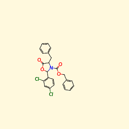 O=C1OC(c2ccc(Cl)cc2Cl)N(C(=O)OCc2ccccc2)C1Cc1ccccc1